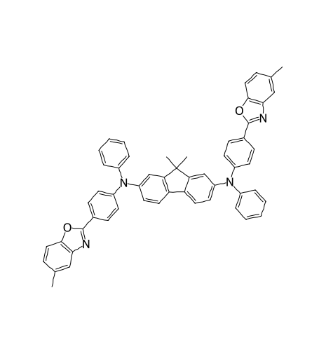 Cc1ccc2oc(-c3ccc(N(c4ccccc4)c4ccc5c(c4)C(C)(C)c4cc(N(c6ccccc6)c6ccc(-c7nc8cc(C)ccc8o7)cc6)ccc4-5)cc3)nc2c1